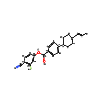 C/C=C/C1CCC(c2ccc(C(=O)Oc3ccc(C#N)c(F)c3)cc2)CC1